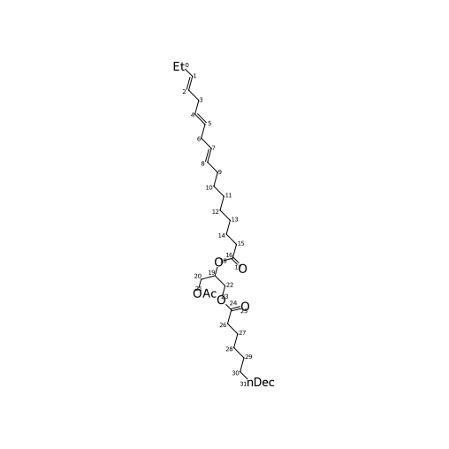 CCC=CCC=CCC=CCCCCCCCC(=O)OC(COC(C)=O)COC(=O)CCCCCCCCCCCCCCC